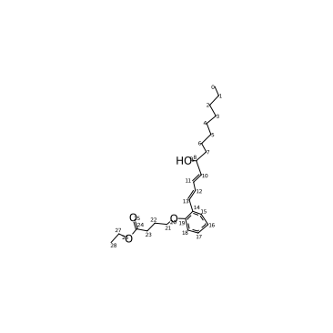 CCCCCCCC[C@H](O)/C=C/C=C/c1ccccc1OCCCC(=O)OCC